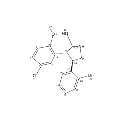 COc1ccc(Cl)cc1[C@@H]1C(O)NC[C@H]1c1ccccc1Br